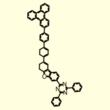 C1=C(C2=Cc3c(oc4cc(-c5nc(-c6ccccc6)nc(-c6ccccc6)n5)ccc34)CC2)CCC(c2ccc(-c3ccc4c5ccccc5c5ccccc5c4c3)cc2)=C1